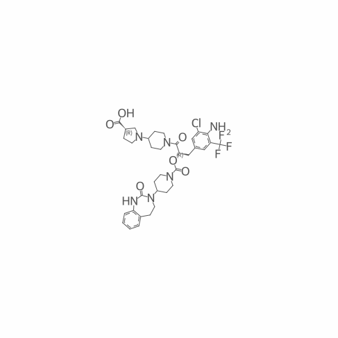 Nc1c(Cl)cc(C[C@@H](OC(=O)N2CCC(N3CCc4ccccc4NC3=O)CC2)C(=O)N2CCC(N3CC[C@@H](C(=O)O)C3)CC2)cc1C(F)(F)F